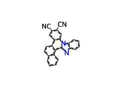 N#Cc1cc2c3ccc4ccccc4c3c3nc4ccccc4n3c2cc1C#N